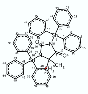 CC1(C)C(=O)[N]([Sn]([c]2ccccc2)([c]2ccccc2)[c]2ccccc2)C(=O)[N]1[Sn]([c]1ccccc1)([c]1ccccc1)[c]1ccccc1